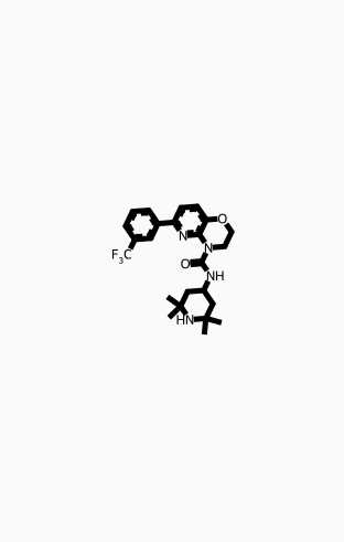 CC1(C)CC(NC(=O)N2CCOc3ccc(-c4cccc(C(F)(F)F)c4)nc32)CC(C)(C)N1